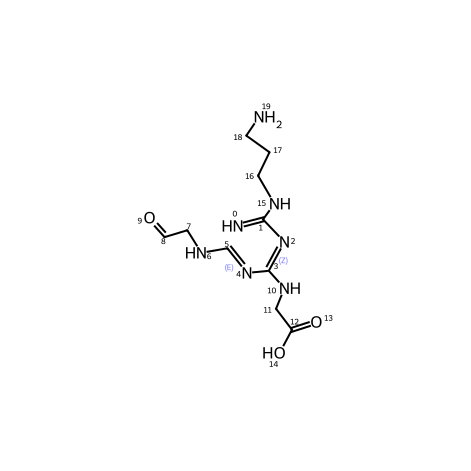 N=C(/N=C(\N=C\NCC=O)NCC(=O)O)NCCCN